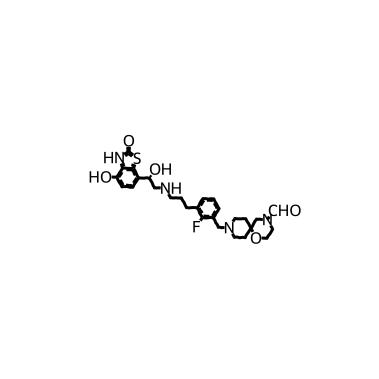 O=CN1CCOC2(CCN(Cc3cccc(CCCNC[C@H](O)c4ccc(O)c5[nH]c(=O)sc45)c3F)CC2)C1